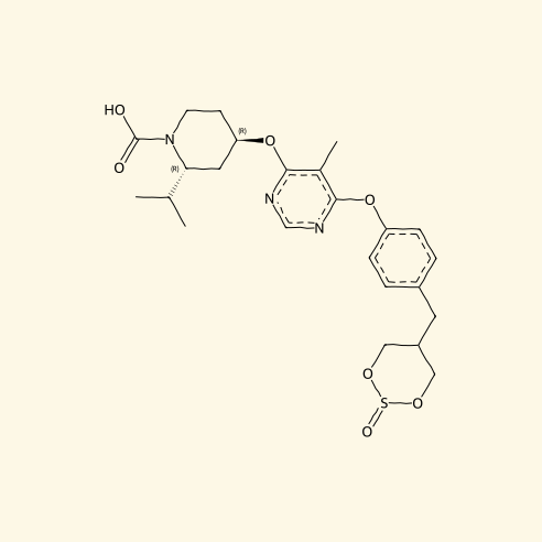 Cc1c(Oc2ccc(CC3COS(=O)OC3)cc2)ncnc1O[C@@H]1CCN(C(=O)O)[C@@H](C(C)C)C1